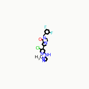 Cn1nccc1Nc1cc(-c2cc3n(c2)CCN(Cc2cc(F)cc(F)c2)C3=O)c(Cl)cn1